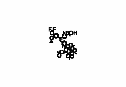 CC(=O)OCC1O[C@@H](Oc2ccc(C[C@H](c3ccc(C(C)(C)O)nc3)c3ccc(OC(F)F)c(OC4CC4)c3)cn2)[C@H](OC(C)=O)C(OC(C)=O)[C@H]1OC(C)=O